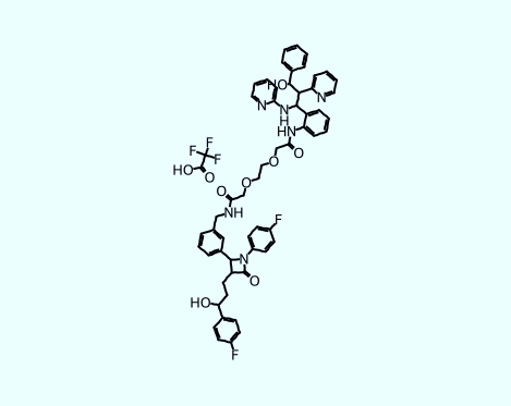 O=C(COCCOCC(=O)Nc1ccccc1C(Nc1ccccn1)C(c1ccccn1)C(O)c1ccccc1)NCc1cccc(C2C(CCC(O)c3ccc(F)cc3)C(=O)N2c2ccc(F)cc2)c1.O=C(O)C(F)(F)F